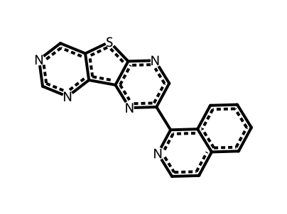 c1ccc2c(-c3cnc4sc5cncnc5c4n3)nccc2c1